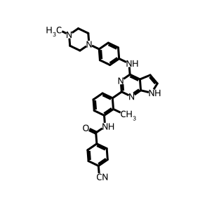 Cc1c(NC(=O)c2ccc(C#N)cc2)cccc1-c1nc(Nc2ccc(N3CCN(C)CC3)cc2)c2cc[nH]c2n1